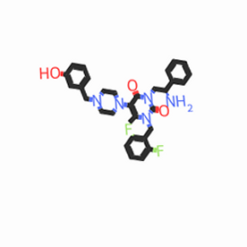 Cc1c(N2CCN(Cc3cccc(O)c3)CC2)c(=O)n(C[C@H](N)c2ccccc2)c(=O)n1Cc1c(F)cccc1F